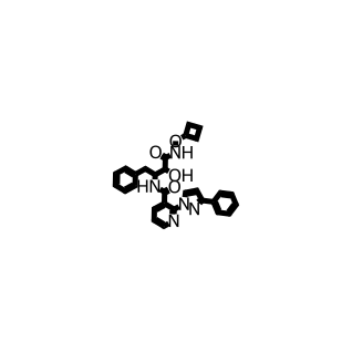 O=C(NC(Cc1ccccc1)C(O)C(=O)NOC1CCC1)c1cccnc1-n1ccc(-c2ccccc2)n1